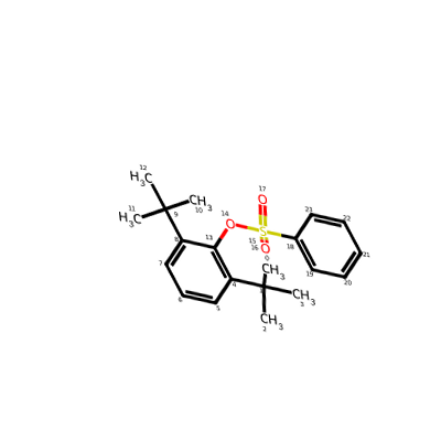 CC(C)(C)c1cccc(C(C)(C)C)c1OS(=O)(=O)c1ccccc1